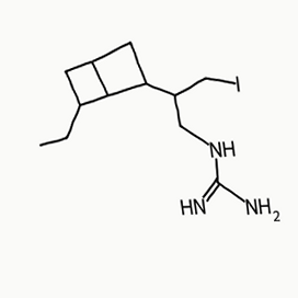 CCC1CC2CC(C(CI)CNC(=N)N)C12